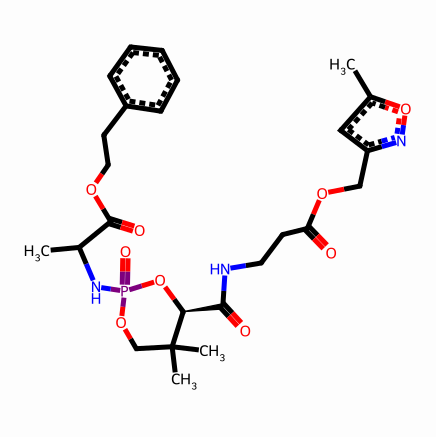 Cc1cc(COC(=O)CCNC(=O)[C@@H]2OP(=O)(NC(C)C(=O)OCCc3ccccc3)OCC2(C)C)no1